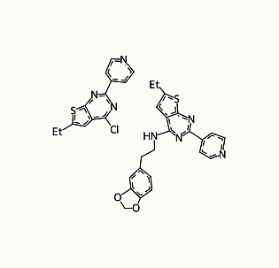 CCc1cc2c(Cl)nc(-c3ccncc3)nc2s1.CCc1cc2c(NCCc3ccc4c(c3)OCO4)nc(-c3ccncc3)nc2s1